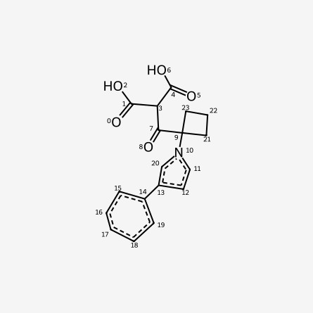 O=C(O)C(C(=O)O)C(=O)C1(n2ccc(-c3ccccc3)c2)CCC1